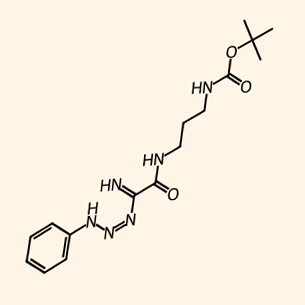 CC(C)(C)OC(=O)NCCCNC(=O)C(=N)/N=N\Nc1ccccc1